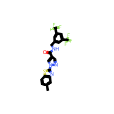 Cc1ccc2sc(-n3cc(C(=O)NCc4cc(C(F)(F)F)cc(C(F)(F)F)c4)cn3)nc2c1